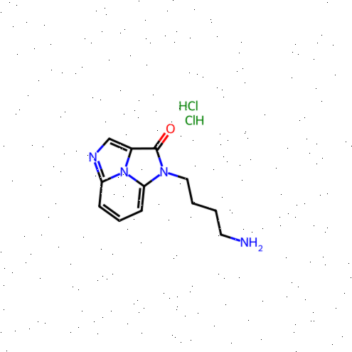 Cl.Cl.NCCCCn1c(=O)c2cnc3cccc1n32